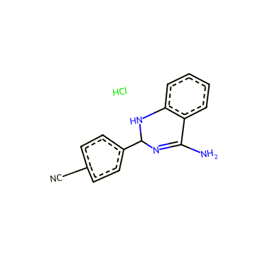 Cl.N#Cc1ccc(C2N=C(N)c3ccccc3N2)cc1